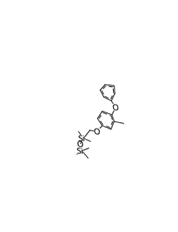 Cc1cc(OC[Si](C)(C)O[Si](C)(C)C)ccc1Oc1ccccc1